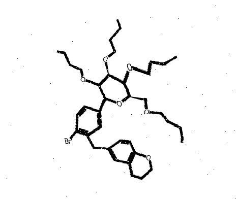 CCCCOC[C@H]1OC(c2ccc(Br)c(Cc3ccc4c(c3)CCCO4)c2)C(OCCCC)[C@@H](OCCCC)C1OCCCC